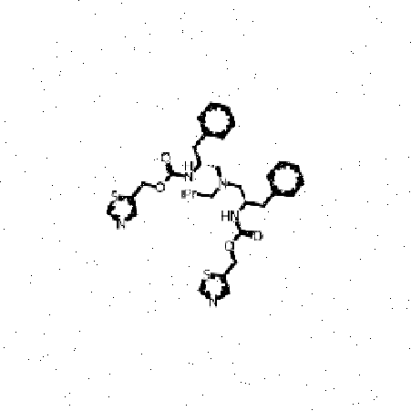 CC(C)CN(C[C@@H](Cc1ccccc1)NC(=O)OCc1cncs1)C[C@@H](Cc1ccccc1)NC(=O)OCc1cncs1